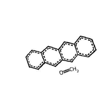 C=O.c1ccc2cc3cc4ccccc4cc3cc2c1